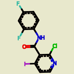 O=C(Nc1ccc(F)cc1F)c1c(I)ccnc1Cl